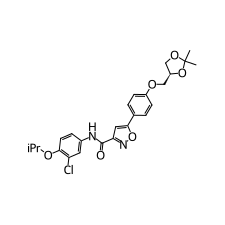 CC(C)Oc1ccc(NC(=O)c2cc(-c3ccc(OC[C@H]4COC(C)(C)O4)cc3)on2)cc1Cl